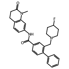 CN1C(=O)CCc2ccc(NC(=O)c3ccc(-c4ccccc4)c(CN4CCC(F)CC4)c3)cc21